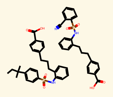 CCC(C)(C)c1ccc(S(=O)(=O)Nc2ccccc2CCCc2ccc(C(=O)O)cc2)cc1.N#Cc1ccccc1S(=O)(=O)Nc1ccccc1CCCc1ccc(C(=O)O)cc1